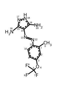 Cc1cc(OC(F)(F)F)ccc1N=Nc1c(N)n[nH]c1N